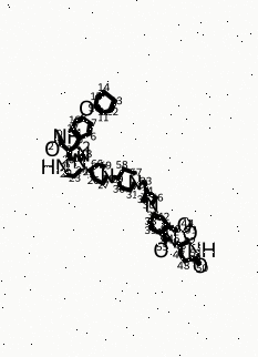 NC(=O)c1c(-c2ccc(Oc3ccccc3)cc2)nn2c1NCC[C@H]2C1CCN(C2CCN(CC3CN(c4ccc5c(c4)C(=O)N(C4CCC(=O)NC4=O)C5=O)C3)CC2)CC1